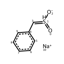 O=[SH]([O-])=Cc1ccccc1.[Na+]